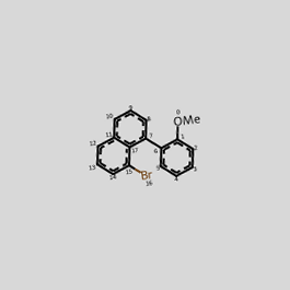 COc1ccccc1-c1cccc2cccc(Br)c12